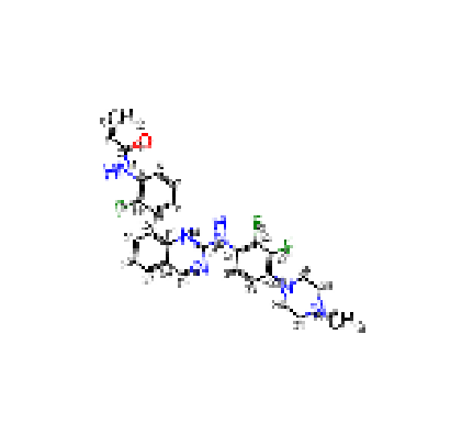 C=CC(=O)Nc1cccc(-c2cccc3cnc(Nc4ccc(N5CCN(C)CC5)c(F)c4F)nc23)c1F